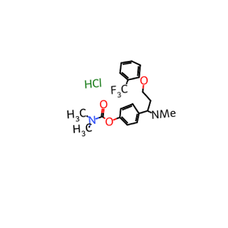 CNC(CCOc1ccccc1C(F)(F)F)c1ccc(OC(=O)N(C)C)cc1.Cl